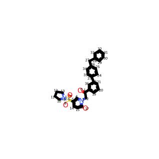 O=C(Cn1cc(S(=O)(=O)N2CCCC2)ccc1=O)c1cccc(-c2ccc(Cc3ccccc3)cc2)c1